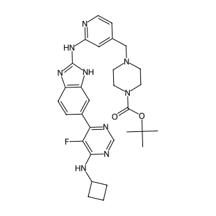 CC(C)(C)OC(=O)N1CCN(Cc2ccnc(Nc3nc4ccc(-c5ncnc(NC6CCC6)c5F)cc4[nH]3)c2)CC1